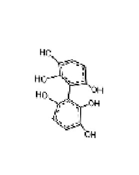 Oc1ccc(O)c(-c2c(O)ccc(O)c2O)c1O